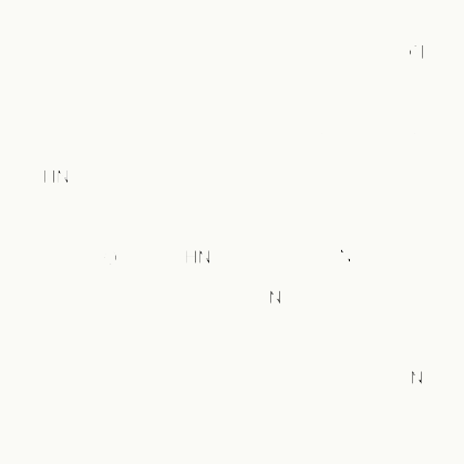 Clc1ccc(-c2cc(NCC3CNCCO3)nc(-c3cccnc3)n2)cc1